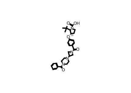 CC(C)(C)C1[C@@H](Oc2ccc(C(=O)N3CC(N4CCN(C(=O)c5ccccc5)CC4)C3)cc2)CCN1C(=O)O